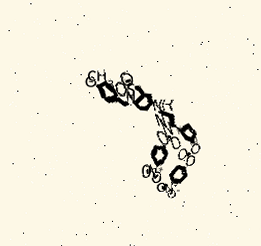 COc1ccc(CN2c3ccc(Nc4cc([C@H]5CC[C@@H](OC(=O)Oc6ccc([N+](=O)[O-])cc6)C5)n(C(=O)Oc5ccc([N+](=O)[O-])cc5)n4)cc3CS2(=O)=O)cc1